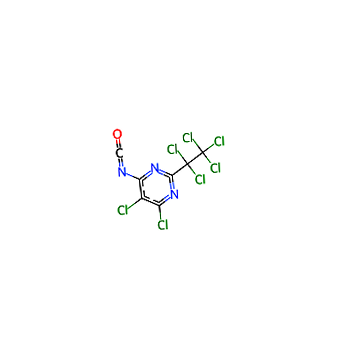 O=C=Nc1nc(C(Cl)(Cl)C(Cl)(Cl)Cl)nc(Cl)c1Cl